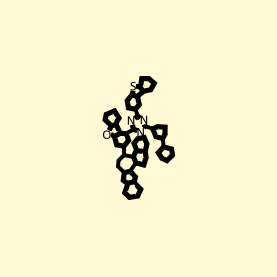 c1ccc(-c2cccc(-c3nc(-c4ccc5sc6ccccc6c5c4)nc(-c4cc(C5CCc6cc7ccccc7cc6-c6ccc7ccccc7c65)cc5oc6ccccc6c45)n3)c2)cc1